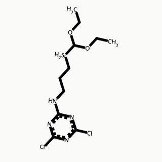 CCOC(OCC)[SiH2]CCCNc1nc(Cl)nc(Cl)n1